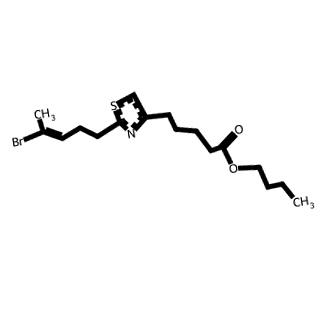 CCCCOC(=O)CCCCc1csc(CC/C=C(\C)Br)n1